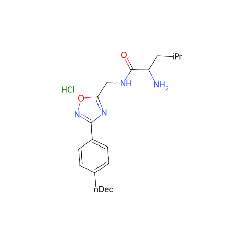 CCCCCCCCCCc1ccc(-c2noc(CNC(=O)C(N)CC(C)C)n2)cc1.Cl